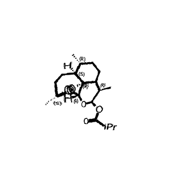 CC(C)C(=O)OC1O[C@@H]2O[C@]3(C)CC[C@H]4[C@H](C)CCC([C@H]1C)[C@@]24OO3